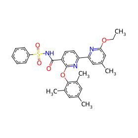 CCOc1cc(C)cc(-c2ccc(C(=O)NS(=O)(=O)c3ccccc3)c(Oc3c(C)cc(C)cc3C)n2)n1